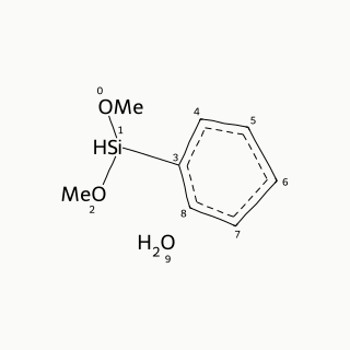 CO[SiH](OC)c1ccccc1.O